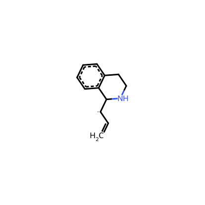 C=C[CH]C1NCCc2ccccc21